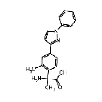 Cc1cc(-c2ccn(-c3ccccc3)n2)ccc1C(C)(N)C(=O)O